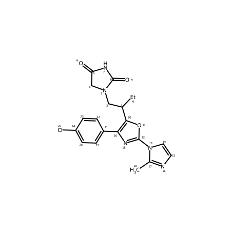 CCC(CN1CC(=O)NC1=O)c1oc(-n2ccnc2C)nc1-c1ccc(Cl)cc1